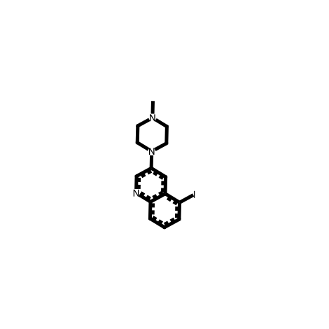 CN1CCN(c2cnc3cccc(I)c3c2)CC1